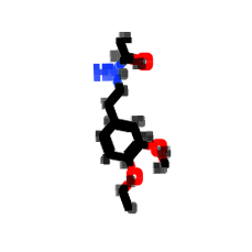 CCOc1ccc(CCNC(C)=O)cc1OC